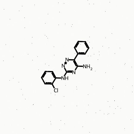 Nc1nc(Nc2ccccc2Cl)nnc1-c1ccccc1